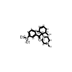 CCN(CC)c1cccc(C(=O)C2(N3CCN(C)CC3)C(C)C=CCC2C)c1